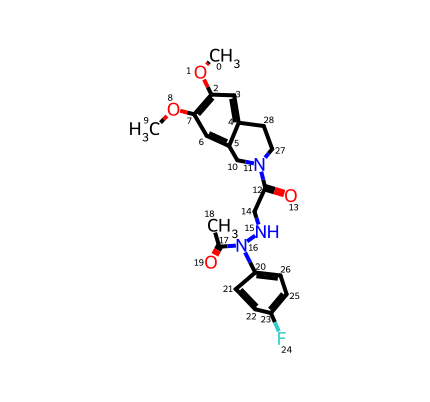 COc1cc2c(cc1OC)CN(C(=O)CNN(C(C)=O)c1ccc(F)cc1)CC2